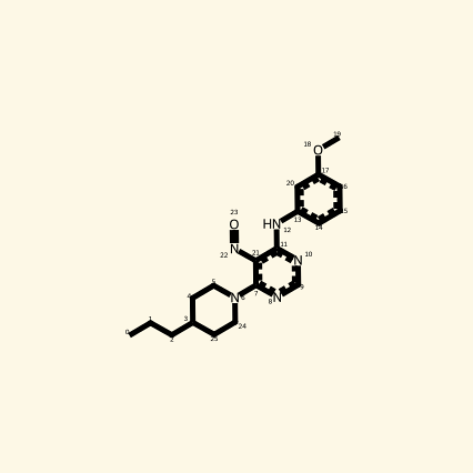 CCCC1CCN(c2ncnc(Nc3cccc(OC)c3)c2N=O)CC1